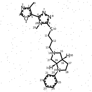 Cc1ncoc1-c1nnc(SCCCN2C[C@@H]3CCN(c4ccccc4)[C@@H]3C2)n1C